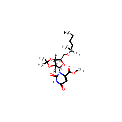 CCCC[Si](C)(C)OC[C@H]1O[C@@H](n2c(C(=O)OC)cc(=O)[nH]c2=O)[C@@H]2OC(C)(C)O[C@@H]21